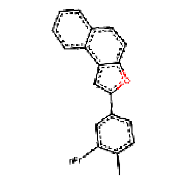 CCCc1cc(-c2cc3c(ccc4ccccc43)o2)ccc1C